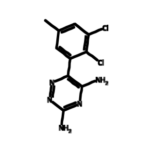 Cc1cc(Cl)c(Cl)c(-c2nnc(N)nc2N)c1